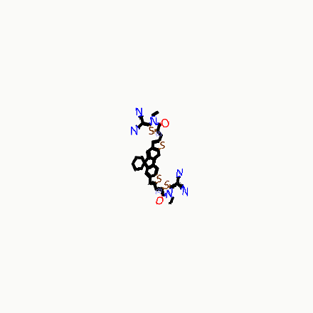 CCn1c(=C(C#N)C#N)s/c(=C\c2cc3cc4c(cc3s2)-c2cc3sc(/C=c5\sc(=C(C#N)C#N)n(CC)c5=O)cc3cc2C42CCCCC2)c1=O